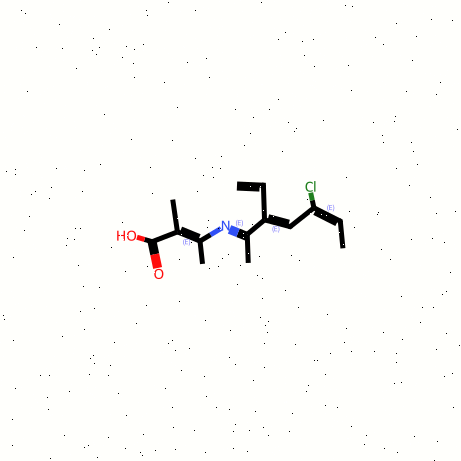 C=CC(=C\C(Cl)=C/C)/C(C)=N/C(C)=C(\C)C(=O)O